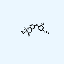 O=C(Cc1cc(Oc2ccc(C(F)(F)F)cc2Cl)ccc1[N+](=O)[O-])SC1CC1